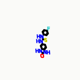 O=c1[nH]c2ccc(NC(=S)Nc3ccc(F)cc3)cc2[nH]1